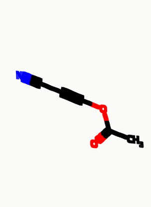 CC(=O)OC#CC#N